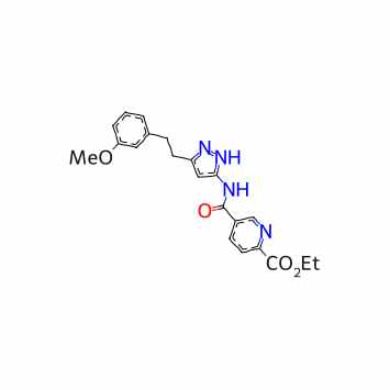 CCOC(=O)c1ccc(C(=O)Nc2cc(CCc3cccc(OC)c3)n[nH]2)cn1